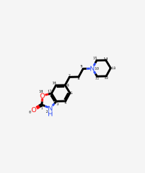 O=c1[nH]c2ccc(CCCN3CCCCC3)cc2o1